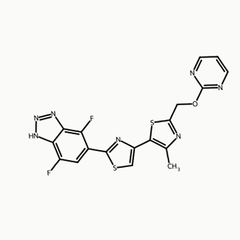 Cc1nc(COc2ncccn2)sc1-c1csc(-c2cc(F)c3[nH]nnc3c2F)n1